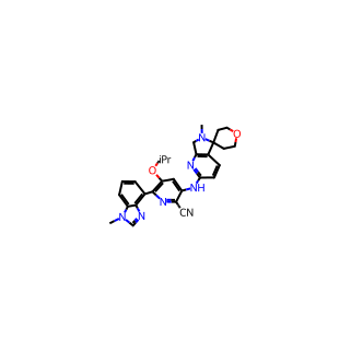 CC(C)Oc1cc(Nc2ccc3c(n2)CN(C)C32CCOCC2)c(C#N)nc1-c1cccc2c1ncn2C